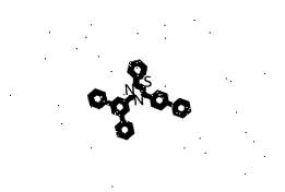 c1ccc(-c2ccc(-c3nc(-c4cc(-c5ccccc5)cc(-c5ccccc5)c4)nc4c3sc3ccccc34)cc2)cc1